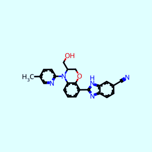 Cc1ccc(N2c3cccc(-c4nc5ccc(C#N)cc5[nH]4)c3OCC2CO)nc1